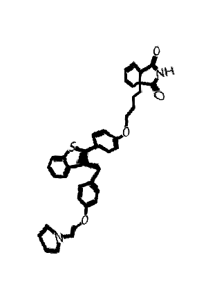 O=C1NC(=O)C2(CCCCOc3ccc(-c4sc5ccccc5c4Cc4ccc(OCCN5CCCC5)cc4)cc3)C=CC=CC12